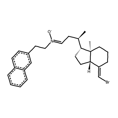 C[C@H](C/C=[N+](\[O-])CCc1ccc2ccccc2c1)[C@H]1CC[C@H]2/C(=C/Br)CCC[C@]12C